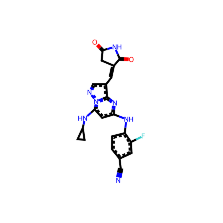 N#Cc1ccc(Nc2cc(NC3CC3)n3ncc(/C=C4\CC(=O)NC4=O)c3n2)c(F)c1